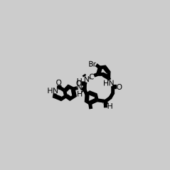 Cc1cc2ccc1[C@@H](C)CCC(=O)Nc1ccc(Br)c(c1)CN(C)C(=O)[C@@H]2Nc1ccc2cc[nH]c(=O)c2c1